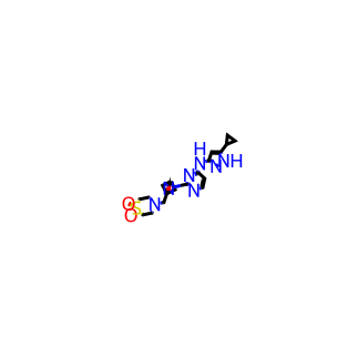 O=S1(=O)CCN(CC23CC(C2)N(c2nccc(Nc4cc(C5CC5)[nH]n4)n2)C3)CC1